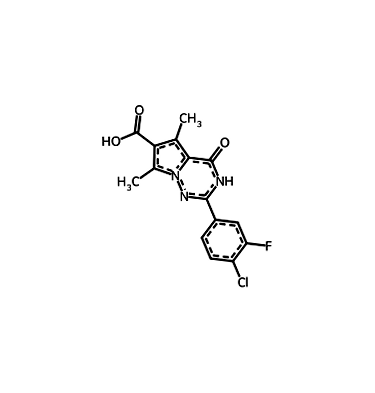 Cc1c(C(=O)O)c(C)n2nc(-c3ccc(Cl)c(F)c3)[nH]c(=O)c12